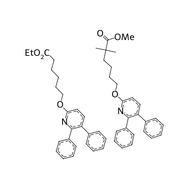 CCOC(=O)CCCCCOc1ccc(-c2ccccc2)c(-c2ccccc2)n1.COC(=O)C(C)(C)CCCCOc1ccc(-c2ccccc2)c(-c2ccccc2)n1